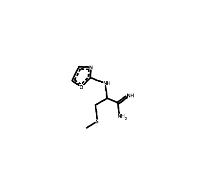 CSCC(Nc1ncco1)C(=N)N